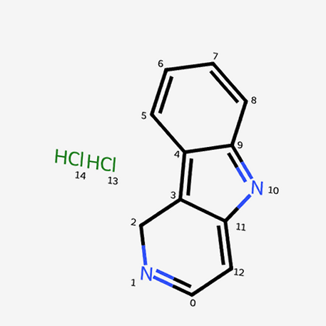 C1=NCC2=c3ccccc3=NC2=C1.Cl.Cl